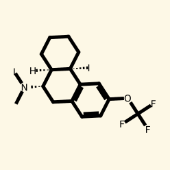 CN(I)[C@H]1Cc2ccc(OC(F)(F)F)cc2[C@]2(I)CCCC[C@H]12